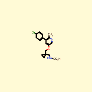 Cc1ncc(OCC2(CNC(=O)O)CC2)cc1-c1ccc(Cl)cc1